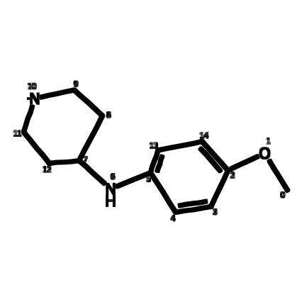 COc1ccc(NC2CC[N]CC2)cc1